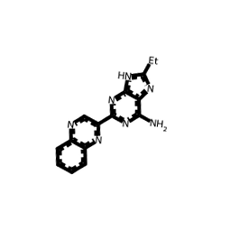 CCc1nc2c(N)nc(-c3cnc4ccccc4n3)nc2[nH]1